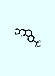 COC(=O)c1ccc2c(c1)CC/C(=C/C1CCOC1)C2=O